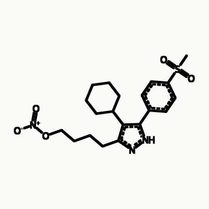 CS(=O)(=O)c1ccc(-c2[nH]nc(CCCCO[N+](=O)[O-])c2C2CCCCC2)cc1